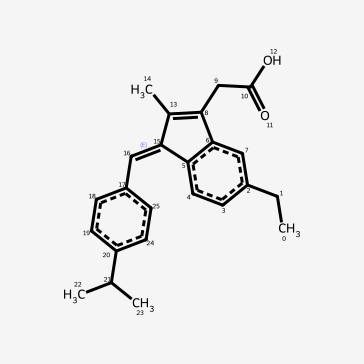 CCc1ccc2c(c1)C(CC(=O)O)=C(C)/C2=C/c1ccc(C(C)C)cc1